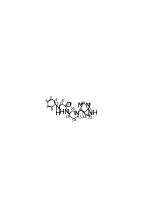 CC(Nc1ccccc1)C(=O)NC1CCCN(c2ncnc3[nH]ccc23)C1